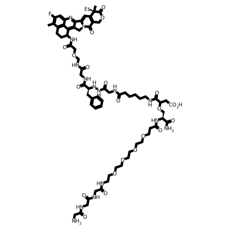 CC[C@@]1(C)C(=O)OCc2c1cc1n(c2=O)Cc2c-1nc1cc(F)c(C)c3c1c2C(NC(=O)COCNC(=O)CNC(=O)[C@H](Cc1ccccc1)NNC(=O)CNC(=O)CCCCCNC(=O)C(CC(=O)O)OC[C@H](NC(=O)CCOCCOCCOCCOCCNC(=O)CNC(=O)CNC(=O)CN)C(N)=O)CC3